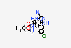 CC(C)(C)OC(=O)N[C@H]1C[C@@H](Nc2nc(NCCc3cccc(Cl)c3)ncc2C#N)C1(C)C